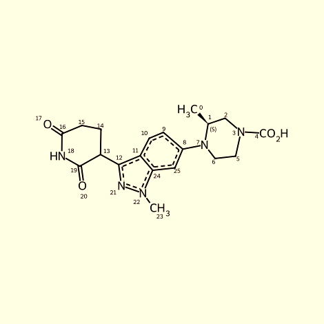 C[C@H]1CN(C(=O)O)CCN1c1ccc2c(C3CCC(=O)NC3=O)nn(C)c2c1